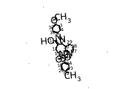 COc1ccc(-n2nc3c(c2O)CCN(S(=O)(=O)c2ccc(C)cc2)c2ncccc2-3)cc1